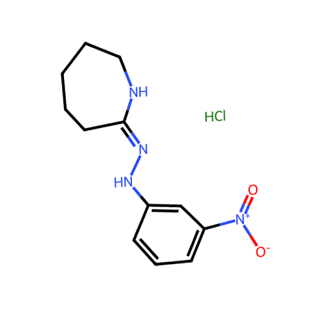 Cl.O=[N+]([O-])c1cccc(NN=C2CCCCCN2)c1